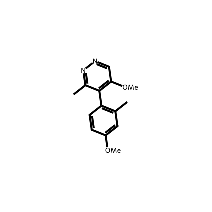 COc1ccc(-c2c(OC)cnnc2C)c(C)c1